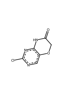 O=C1COc2cnc(Cl)nc2N1